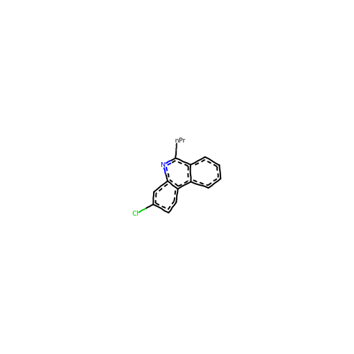 CCCc1nc2cc(Cl)ccc2c2ccccc12